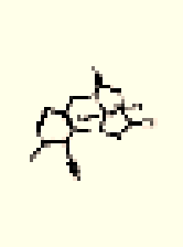 Cc1c(CN2C(=O)C[C@@H]3C(O)CC[C@@H]32)ccc(Cl)c1C#N